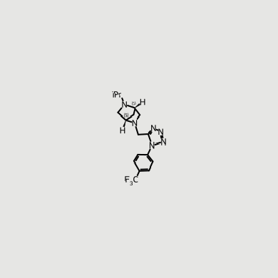 CC(C)N1C[C@@H]2C[C@H]1CN2Cc1nnnn1-c1ccc(C(F)(F)F)cc1